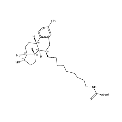 CCCCCC(=O)NCCCCCCCCC[C@@H]1Cc2cc(O)ccc2[C@H]2CC[C@]3(C)[C@@H](O)CC[C@H]3[C@H]12